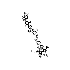 CC(C)(C1CCN(C(=O)COC(=O)N2CCN(c3cnc(-c4c(-c5nn(C(C)(C)C)c6ncnc(N)c56)noc4C4CC4)nc3)CC2)CC1)N1CCN(c2c(F)cc(N[C@H]3CCC(=O)NC3=O)cc2F)CC1